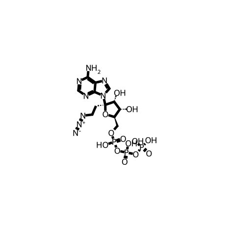 [N-]=[N+]=NCC[C@@]1(n2cnc3c(N)ncnc32)O[C@H](COP(=O)(O)OP(=O)(O)OP(=O)(O)O)[C@@H](O)[C@H]1O